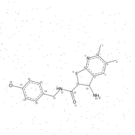 Cc1cc2c(nc1C)SC(C(=O)NCc1ccc(Cl)cc1)C2N